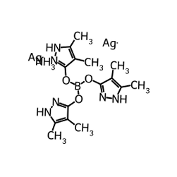 Cc1[nH]nc(OB(Oc2n[nH]c(C)c2C)Oc2n[nH]c(C)c2C)c1C.N.[Ag].[Ag]